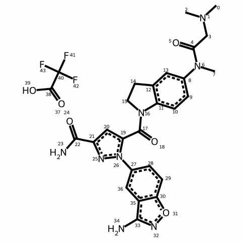 CN(C)CC(=O)N(C)c1ccc2c(c1)CCN2C(=O)c1cc(C(N)=O)nn1-c1ccc2onc(N)c2c1.O=C(O)C(F)(F)F